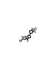 Cn1c(=O)oc2ccc(-c3ccc4c(F)c(CC(N)C#N)sc4c3)cc21